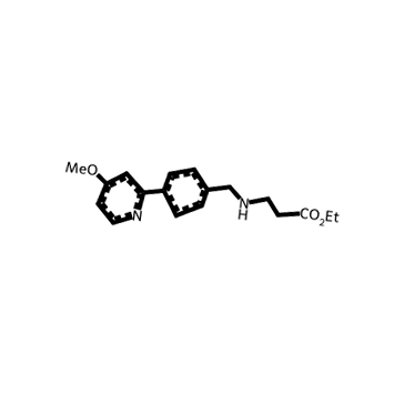 CCOC(=O)CCNCc1ccc(-c2cc(OC)ccn2)cc1